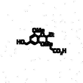 CCC(CCCC(=O)O)Oc1c(OC)cc(CO)cc1OC